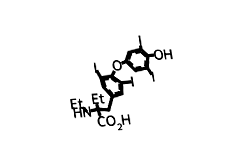 CCNC(CC)(Cc1cc(I)c(Oc2cc(I)c(O)c(I)c2)c(I)c1)C(=O)O